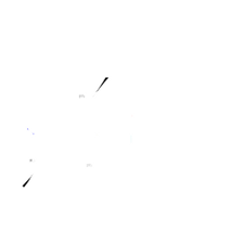 C[C@H]1NC[C@@H](c2ccccc2)S(=O)(=O)[C@@H]1Cc1ccc(Br)cc1F